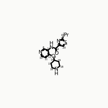 CC(C)c1nc(C(=O)Nc2cnccc2OC2CCNCC2)cs1